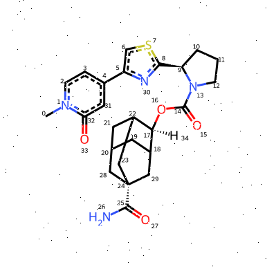 Cn1ccc(-c2csc([C@H]3CCCN3C(=O)O[C@H]3C4CC5CC3C[C@](C(N)=O)(C5)C4)n2)cc1=O